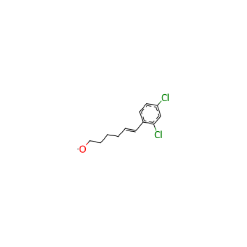 [O]CCCCC=Cc1ccc(Cl)cc1Cl